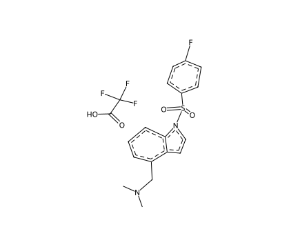 CN(C)Cc1cccc2c1ccn2S(=O)(=O)c1ccc(F)cc1.O=C(O)C(F)(F)F